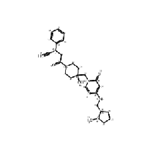 C#C[C@H](CC(=O)N1CCC(O)(Cn2cnc(NC[C@H]3CCCN3C)cc2=O)CC1)c1ccccc1